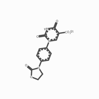 CCOC(=O)c1cn(-c2ccc(N3CCOC3=O)cc2)c(=O)[nH]c1=O